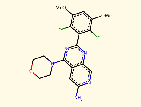 COc1cc(OC)c(F)c(-c2nc(N3CCOCC3)c3cc(N)ncc3n2)c1F